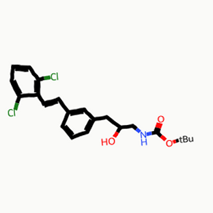 CC(C)(C)OC(=O)NCC(O)Cc1cccc(/C=C/c2c(Cl)cccc2Cl)c1